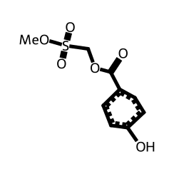 COS(=O)(=O)COC(=O)c1ccc(O)cc1